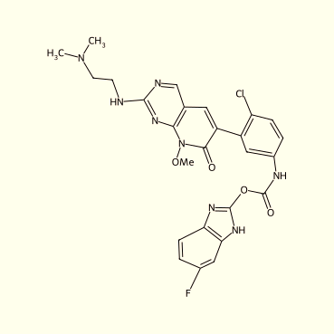 COn1c(=O)c(-c2cc(NC(=O)Oc3nc4ccc(F)cc4[nH]3)ccc2Cl)cc2cnc(NCCN(C)C)nc21